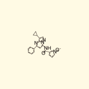 O=C(Nc1cc(-c2ccccc2)nc2c(C3CC3)cnn12)c1ccc[n+]([O-])c1